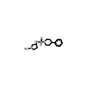 N#CN1CCC(NS(=O)(=O)N2CCC(c3ccccc3)CC2)C1